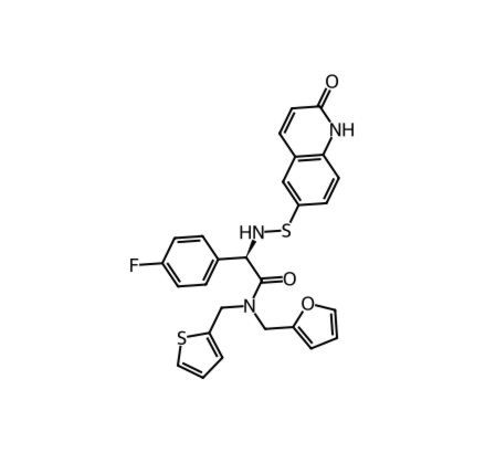 O=C([C@H](NSc1ccc2[nH]c(=O)ccc2c1)c1ccc(F)cc1)N(Cc1ccco1)Cc1cccs1